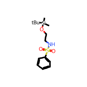 CC(C)(C)[Si](C)(C)OCCNS(=O)(=O)c1ccccc1